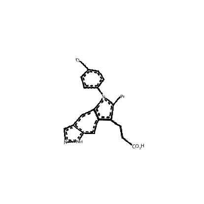 CC(C)c1c(CCC(=O)O)c2cc3[nH]ncc3cc2n1-c1ccc(Cl)cc1